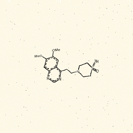 COc1cc2ncnc(CCN3CCS(=N)(=O)CC3)c2cc1OC